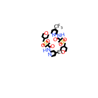 CC(C)(C(=O)Nc1cc(C(F)(F)F)ccn1)S(=O)(=O)CC1CCOCC1.CCc1ccnc(NC(=O)C(C)(C)S(=O)(=O)CC2CCOCC2)c1